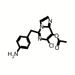 CC(=O)Oc1c(Cl)nc(Cc2ccc(N)cc2)n2ccnc12